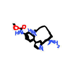 COC(=O)Nc1ccc2c(c1)NCCCCC[C@H](N)c1cc-2ccn1